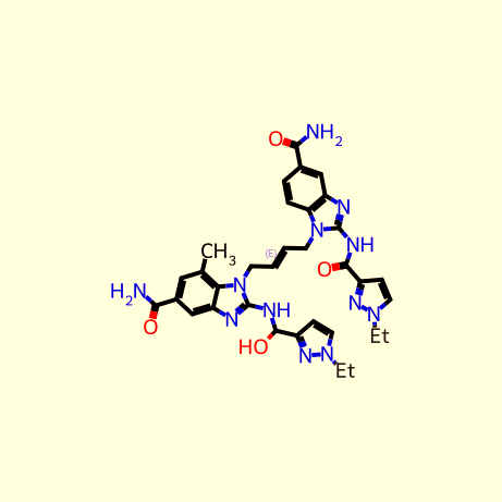 CCn1ccc(C(=O)Nc2nc3cc(C(N)=O)ccc3n2C/C=C/Cn2c(NC(O)c3ccn(CC)n3)nc3cc(C(N)=O)cc(C)c32)n1